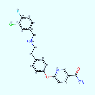 NC(=O)c1ccc(Oc2ccc(CCNCc3ccc(F)c(Cl)c3)cc2)nc1